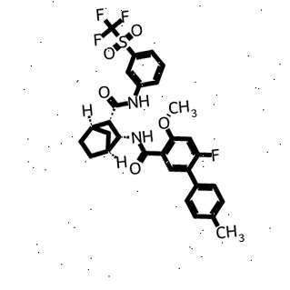 COc1cc(F)c(-c2ccc(C)cc2)cc1C(=O)N[C@@H]1[C@H]2CC[C@H](C2)[C@@H]1C(=O)Nc1cccc(S(=O)(=O)C(F)(F)F)c1